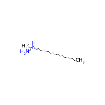 CCCCCCCCCCCCCCCCC=CNC(C)CN